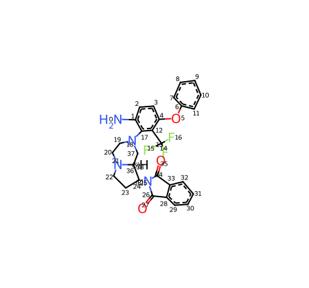 Nc1ccc(Oc2ccccc2)c(C(F)(F)F)c1N1CCN2CC[C@@H](N3C(=O)c4ccccc4C3=O)[C@@H]2C1